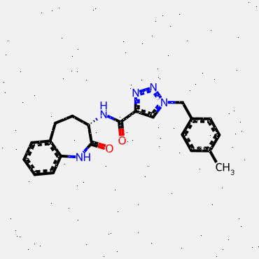 Cc1ccc(Cn2cc(C(=O)N[C@H]3CCc4ccccc4NC3=O)nn2)cc1